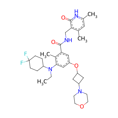 CCN(c1cc(OC2CC(N3CCOCC3)C2)cc(C(=O)NCc2c(C)cc(C)[nH]c2=O)c1C)C1CCC(F)(F)CC1